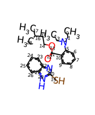 CCN(CC)c1ccccc1C(=O)OCCC(C)C.Sc1nc2ccccc2[nH]1